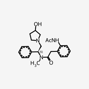 CC(=O)Nc1ccccc1CC(=O)N(C)[C@H](CN1CCC(O)C1)c1ccccc1